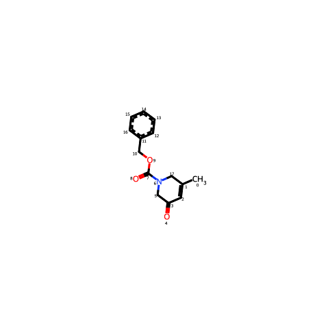 CC1=CC(=O)CN(C(=O)OCc2ccccc2)C1